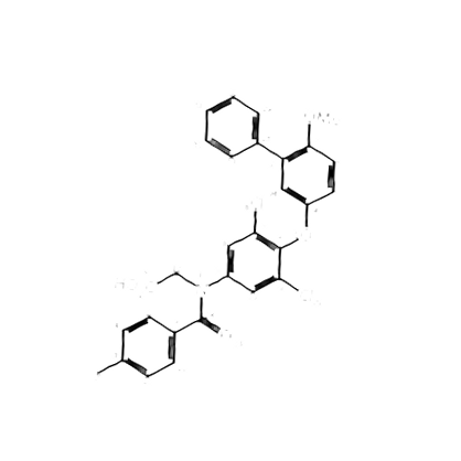 COc1ccc(Oc2c(Cl)cc(N(CC(=O)O)C(=O)c3ccc(C)cc3)cc2Cl)cc1-c1ccccc1